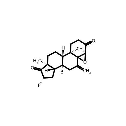 C=C1C[C@H]2[C@@H]3C[C@H](F)C(=O)[C@@]3(C)CC[C@@H]2[C@@]2(C)CCC(=O)C3OC132